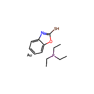 CCP(CC)CC.Sc1nc2ccccc2o1.[Au]